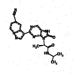 CC(C)NC(=O)[C@@H](C)n1c(=O)[nH]c2cnc(-c3cnn4ccc(C#N)cc34)nc21